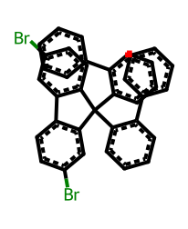 Brc1ccc2c(c1)-c1ccc(Br)cc1C2(c1ccccc1-c1ccccc1)c1ccccc1-c1ccccc1